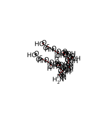 CC(C)(COP(=O)(O)OP(=O)(O)OC[C@H]1O[C@@H](n2cnc3c(N)ncnc32)[C@H](O)[C@@H]1OP(=O)(O)O)[C@@H](O)C(=O)NCCC(=O)NCCSC(=O)CCC(=O)O.CC(C)(COP(=O)(O)OP(=O)(O)OC[C@H]1O[C@@H](n2cnc3c(N)ncnc32)[C@H](O)[C@@H]1OP(=O)(O)O)[C@@H](O)C(=O)NCCC(=O)NCCSC(=O)CCC(=O)O